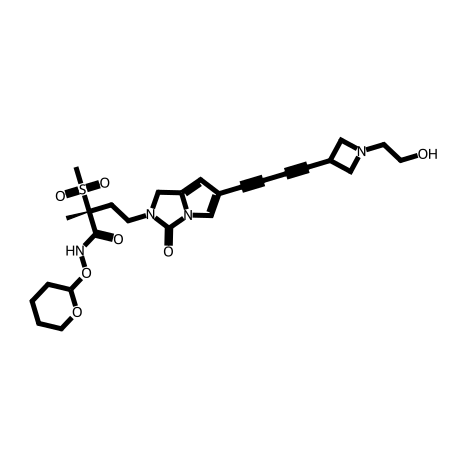 C[C@@](CCN1Cc2cc(C#CC#CC3CN(CCO)C3)cn2C1=O)(C(=O)NOC1CCCCO1)S(C)(=O)=O